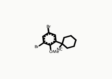 COc1c(Br)cc(Br)cc1C1(C#N)CCCCC1